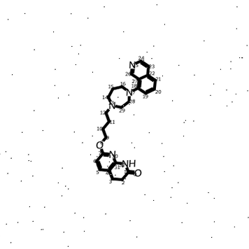 O=C1CCc2ccc(OCCCCN3CCCN(c4cccc5ccncc45)CC3)nc2N1